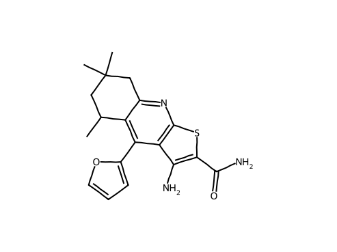 CC1CC(C)(C)Cc2nc3sc(C(N)=O)c(N)c3c(-c3ccco3)c21